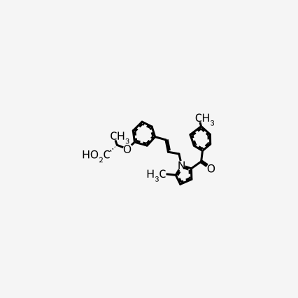 Cc1ccc(C(=O)c2ccc(C)n2C/C=C/c2cccc(O[C@@H](C)C(=O)O)c2)cc1